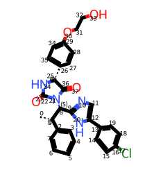 C[C@@H](c1ccccc1)[C@@H](c1ncc(-c2ccc(Cl)cc2)[nH]1)N1C(=O)N[C@H](c2ccc(OCCO)cc2)C1=O